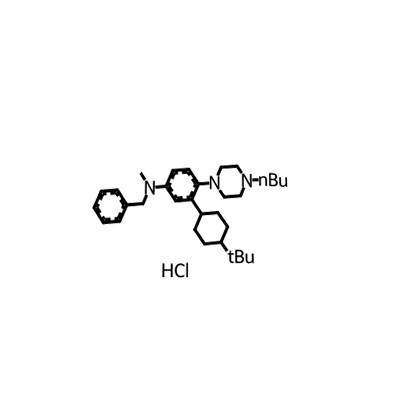 CCCCN1CCN(c2ccc(N(C)Cc3ccccc3)cc2C2CCC(C(C)(C)C)CC2)CC1.Cl